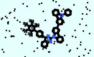 [2H]c1c([2H])c([2H])c(-c2ccc(-c3nc(-n4c5ccccc5c5cc(-c6ccc7c(c6)c6ccccc6n7-c6ccccc6)ccc54)nc4ccccc34)cc2)c([2H])c1[2H]